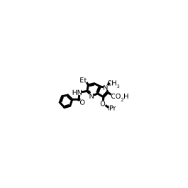 CCc1cc2c(nc1NC(=O)c1ccccc1)c(OC(C)C)c(C(=O)O)n2C